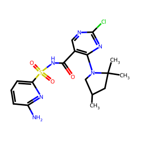 CC1CN(c2nc(Cl)ncc2C(=O)NS(=O)(=O)c2cccc(N)n2)C(C)(C)C1